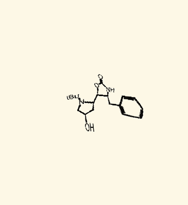 CC(C)(C)N1C[C@H](O)C[C@@H]1[C@H]1OC(=O)N[C@H]1Cc1ccccc1